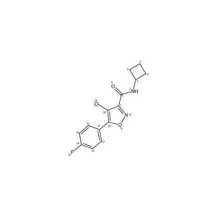 O=C(NC1CCC1)c1noc(-c2ccc(F)cc2)c1Cl